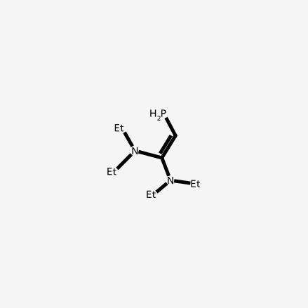 CCN(CC)C(=CP)N(CC)CC